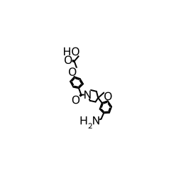 NCc1ccc2c(c1)C1(CCN(C(=O)c3ccc(OCC(=O)CO)cc3)CC1)CO2